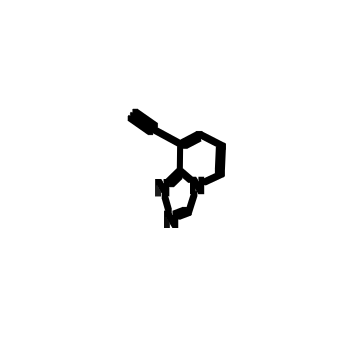 C#Cc1cccn2cnnc12